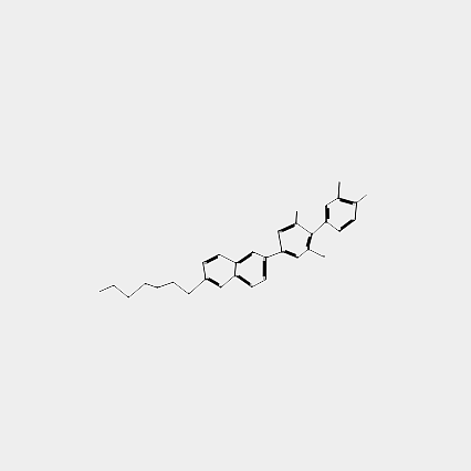 CCCCCCCc1ccc2cc(-c3cc(F)c(-c4ccc(F)c(F)c4)c(F)c3)ccc2c1